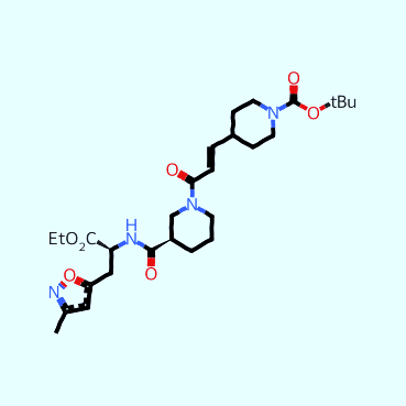 CCOC(=O)[C@H](Cc1cc(C)no1)NC(=O)[C@@H]1CCCN(C(=O)/C=C/C2CCN(C(=O)OC(C)(C)C)CC2)C1